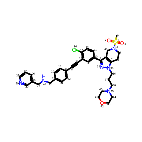 CS(=O)(=O)N1CCc2c(c(-c3ccc(Cl)c(C#Cc4ccc(CNCc5cccnc5)cc4)c3)nn2CCCN2CCOCC2)C1